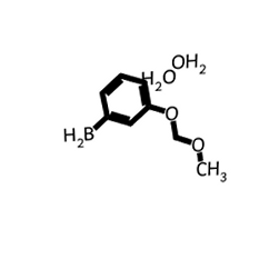 Bc1cccc(OCOC)c1.O.O